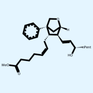 CCCCC[C@H](O)/C=C/[C@@H]1[C@@H]2C[C@](c3ccccc3)(CO2)[C@H]1C/C=C\CCCC(=O)OC